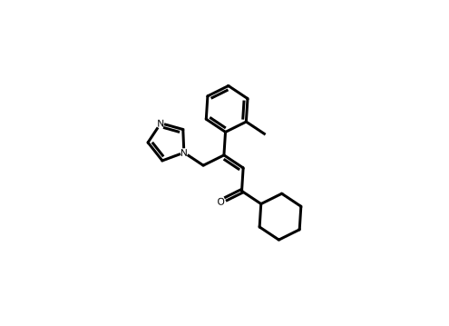 Cc1ccccc1/C(=C/C(=O)C1CCCCC1)Cn1ccnc1